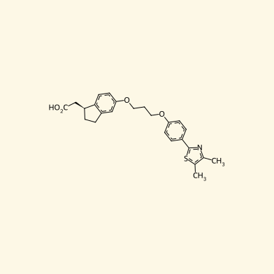 Cc1nc(-c2ccc(OCCCOc3ccc4c(c3)CC[C@H]4CC(=O)O)cc2)sc1C